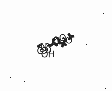 CCN(CCc1ccc2c(c1)C(C)(C)C(OC(C)C)O2)S(=O)(=O)O